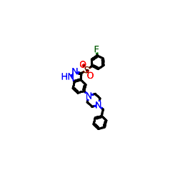 O=S(=O)(c1cccc(F)c1)c1n[nH]c2ccc(N3CCN(Cc4ccccc4)CC3)cc12